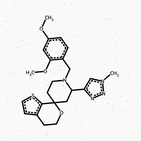 COc1ccc(CN2CCC3(CC2c2cn(C)nn2)OCCc2ccsc23)c(OC)c1